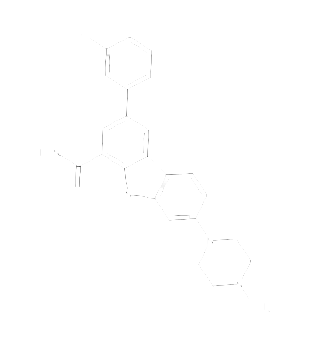 CN1CCN(c2ccc3c(c2)[nH]c2c(C(N)=O)cc(-c4cccc(C(F)(F)F)c4)cc23)CC1